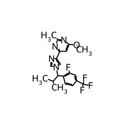 COc1cc(-c2cn(C(c3ccc(C(F)(F)F)cc3F)C(C)C)cn2)nc(C)n1